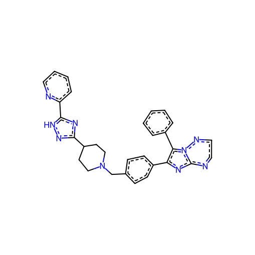 c1ccc(-c2c(-c3ccc(CN4CCC(c5n[nH]c(-c6ccccn6)n5)CC4)cc3)nc3nccnn23)cc1